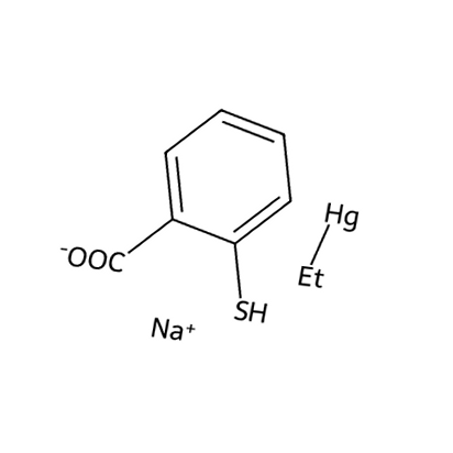 C[CH2][Hg].O=C([O-])c1ccccc1S.[Na+]